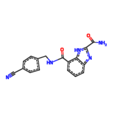 N#Cc1ccc(CNC(=O)c2cccc3nc(C(N)=O)[nH]c23)cc1